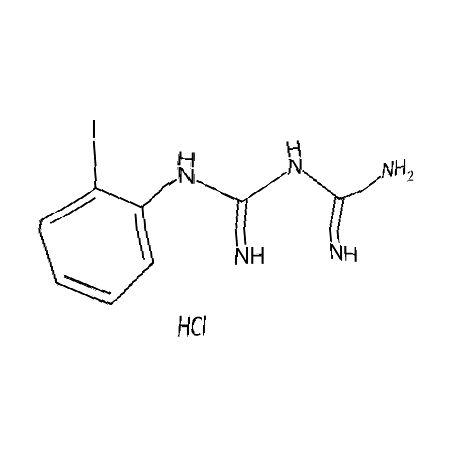 Cl.N=C(N)NC(=N)Nc1ccccc1I